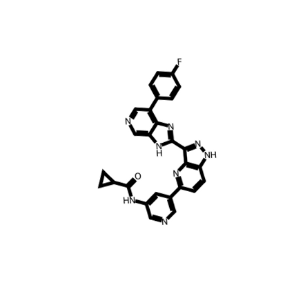 O=C(Nc1cncc(-c2ccc3[nH]nc(-c4nc5c(-c6ccc(F)cc6)cncc5[nH]4)c3n2)c1)C1CC1